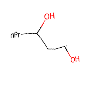 [CH2]CCC(O)C[CH]O